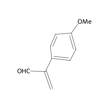 C=C(C=O)c1ccc(OC)cc1